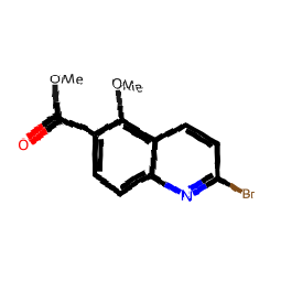 COC(=O)c1ccc2nc(Br)ccc2c1OC